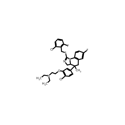 CCN(CC)CCOc1cc(C2(C)Cc3cc(F)ccc3N3C(SCc4c(F)cccc4Cl)=NCC32)ccc1Cl